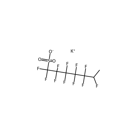 CC(F)C(F)(F)C(F)(F)C(F)(F)C(F)(F)C(F)(F)S(=O)(=O)[O-].[K+]